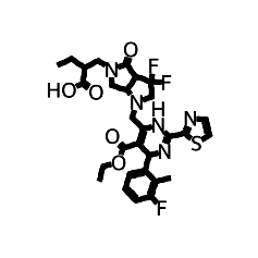 CCOC(=O)C1=C(CN2CC(F)(F)C3C(=O)N(CC(CC)C(=O)O)CC32)NC(c2nccs2)=NC1c1cccc(F)c1C